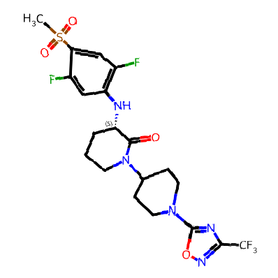 CS(=O)(=O)c1cc(F)c(N[C@H]2CCCN(C3CCN(c4nc(C(F)(F)F)no4)CC3)C2=O)cc1F